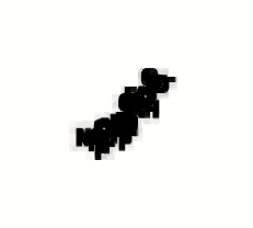 N#Cc1ccc(N2C[C@@H](C(=O)Nc3ccc([N+](=O)[O-])cc3F)O[C@@H]2C(F)(F)F)cc1C(F)(F)F